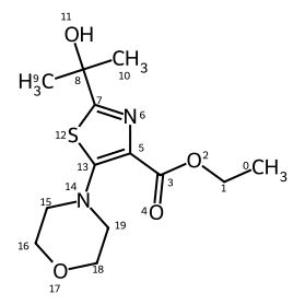 CCOC(=O)c1nc(C(C)(C)O)sc1N1CCOCC1